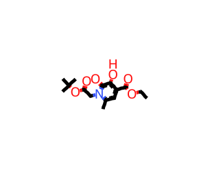 CCOC(=O)c1cc(C)n(CC(=O)OC(C)(C)C)c(=O)c1O